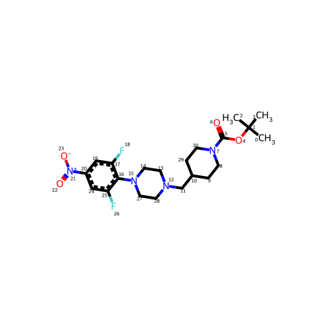 CC(C)(C)OC(=O)N1CCC(CN2CCN(c3c(F)cc([N+](=O)[O-])cc3F)CC2)CC1